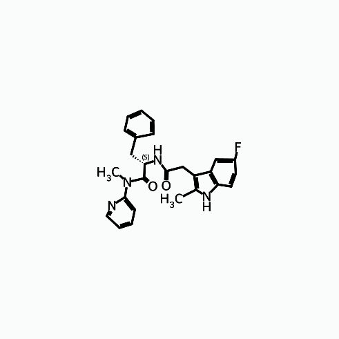 Cc1[nH]c2ccc(F)cc2c1CC(=O)N[C@@H](Cc1ccccc1)C(=O)N(C)c1ccccn1